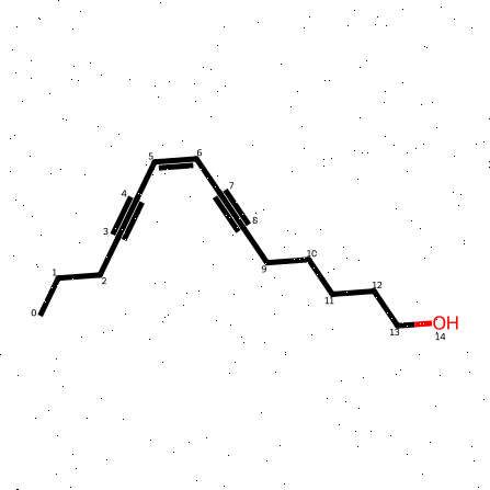 CCCC#C/C=C\C#CCCCCCO